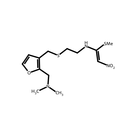 CSC(=C[N+](=O)[O-])NCCSCc1ccoc1CN(C)C